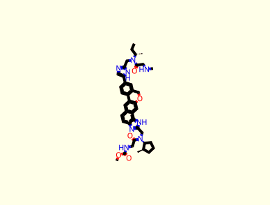 CC[C@H](C)N(Cc1ncc(-c2ccc3c(c2)COc2cc4c(ccc5nc(CN(C(=O)CNC(=O)OC)[C@H]6CCC[C@H]6C)[nH]c54)cc2-3)[nH]1)C(=O)CNC